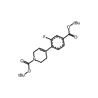 CC(C)(C)OC(=O)c1ccc(C2=CCN(C(=O)OC(C)(C)C)CC2)c(F)c1